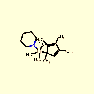 CC1=C[C](C)([Hf]([CH3])([CH3])([CH3])[N]2CCCCC2)C(C)=C1C